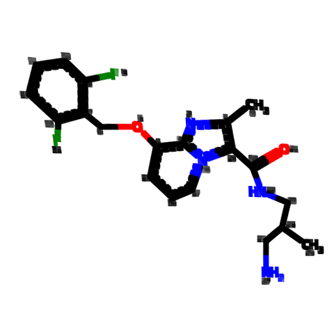 Cc1nc2c(OCc3c(F)cccc3F)cccn2c1C(=O)NCC(C)CN